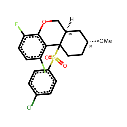 CO[C@@H]1CCC2(S(=O)(=O)c3ccc(Cl)cc3)c3c(F)ccc(F)c3OC[C@H]2C1